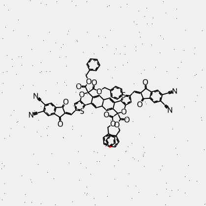 N#Cc1cc2c(cc1C#N)C(=O)C(=Cc1cc3c(s1)C1=CC4C=C5C(=CC4C=C1C(C(=O)OCc1ccccc1)(C(=O)OCc1ccccc1)O3)c1sc(C=C3C(=O)c4cc(C#N)c(C#N)cc4C3=O)cc1OC5(C(=O)OCc1ccccc1)C(=O)OCc1ccccc1)C2=O